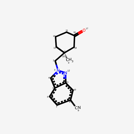 C[C@]1(Cn2cc3ccc(C#N)cc3n2)CCCC(=O)C1